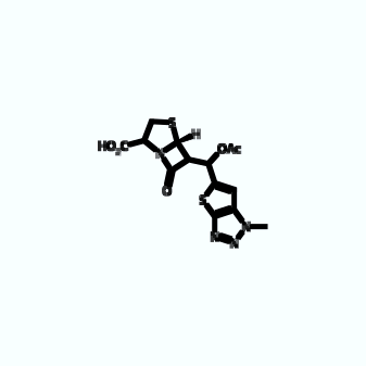 CC(=O)OC(c1cc2c(nnn2C)s1)C1C(=O)N2C(C(=O)O)CS[C@H]12